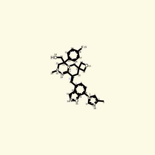 Cc1cn(-c2ccc(/C=C3\CC4(COC4)CN4C3=NN(C)CC4(CO)c3ccc(F)cc3)c3cnoc23)cn1